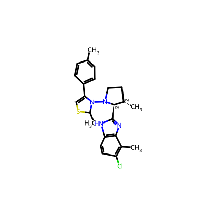 Cc1ccc(C2=[C]SC(C)N2N2CC[C@H](C)[C@H]2c2nc3c(C)c(Cl)ccc3[nH]2)cc1